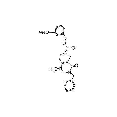 COc1cccc(COC(=O)N2CCC3=C(C2)C(=O)N(Cc2ccccc2)CN3C)c1